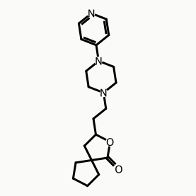 O=C1OC(CCN2CCN(c3ccncc3)CC2)CC12CCCC2